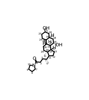 C[C@H](CCC(=O)N1CCCC1)C1CC[C@H]2[C@@H]3[C@@H](O)C[C@@H]4C[C@H](O)CC[C@]4(C)[C@H]3CC[C@]12C